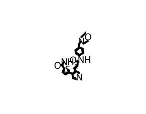 NC(=O)c1ccc(-c2ccncc2C=CC(=O)Nc2ccc(CN3CCOCC3)cc2)s1